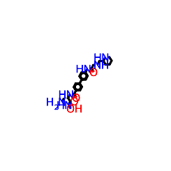 NC[C@H](NC(=O)c1ccc(-c2ccc(NC(=O)CNCC3CCCCN3)cc2)cc1)C(=O)NO